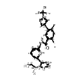 Cc1cc(F)c(C(=O)Nc2cccc(-c3nnnn3[C@H](C)CO)n2)cc1-c1cnn(C(F)(F)F)c1